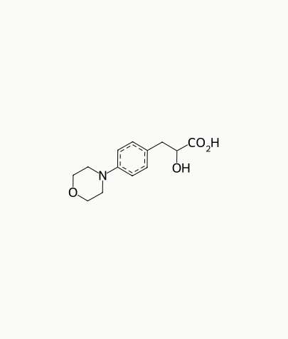 O=C(O)C(O)Cc1ccc(N2CCOCC2)cc1